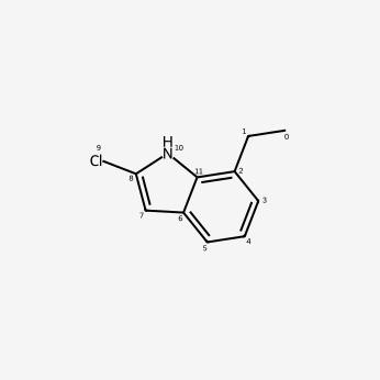 CCc1cccc2cc(Cl)[nH]c12